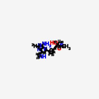 [2H]c1nc(N)c2nc(-c3cccc(C#C[C@]4(O)CCN(C)C4=O)c3)cc(C3CCN3)c2n1